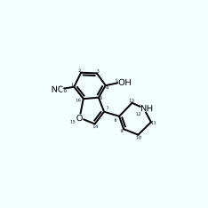 N#Cc1ccc(O)c2c(C3=CCCNC3)coc12